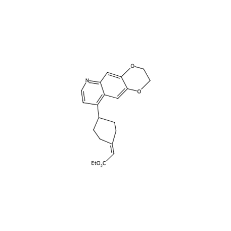 CCOC(=O)C=C1CCC(c2ccnc3cc4c(cc23)OCCO4)CC1